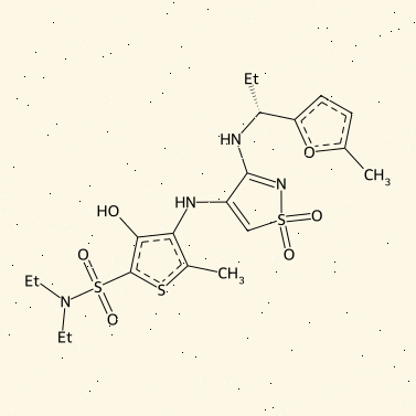 CC[C@@H](NC1=NS(=O)(=O)C=C1Nc1c(C)sc(S(=O)(=O)N(CC)CC)c1O)c1ccc(C)o1